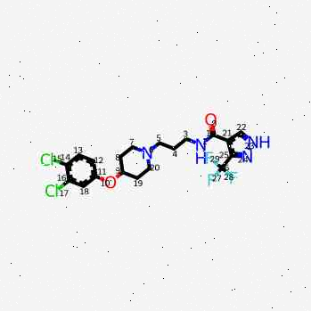 O=C(NCCCN1CCC(Oc2ccc(Cl)c(Cl)c2)CC1)c1c[nH]nc1C(F)(F)F